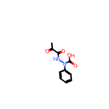 CC(=O)C(=O)NN(C(=O)O)c1ccccc1